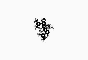 CCC1=Cc2c(ccc(CC)c2-c2cc(C(F)(F)F)cc(C(F)(F)F)c2)[CH]1[Zr]([Cl])([Cl])([CH]1C(CC)=Cc2c1ccc(CC)c2-c1cc(C(F)(F)F)cc(C(F)(F)F)c1)[SiH](C)C